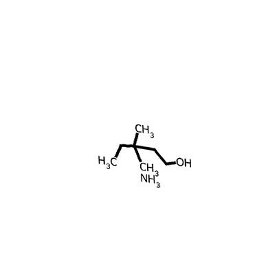 CCC(C)(C)CCO.N